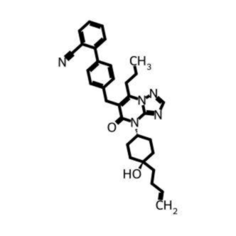 C=CCC[C@]1(O)CC[C@H](n2c(=O)c(Cc3ccc(-c4ccccc4C#N)cc3)c(CCC)n3ncnc32)CC1